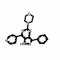 c1ccc(-c2n[nH]c3c(-c4ccncc4)nc(N4CCOCC4)nc23)cc1